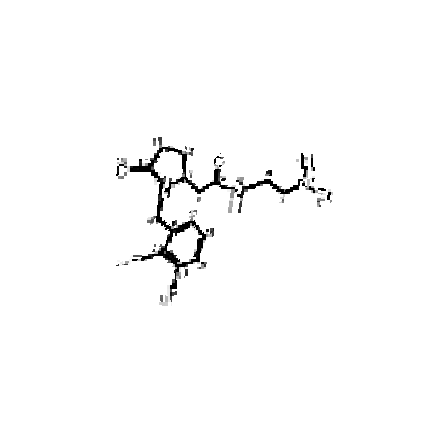 CCN(CC)CCNC(=O)CC1CCC(=O)N1Cc1cccc(F)c1F